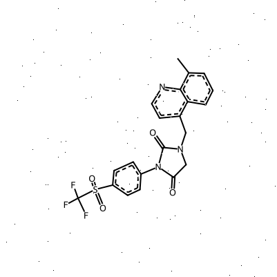 Cc1cccc2c(CN3CC(=O)N(c4ccc(S(=O)(=O)C(F)(F)F)cc4)C3=O)ccnc12